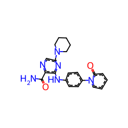 NC(=O)c1ncc(N2CCCCC2)nc1Nc1ccc(-n2ccccc2=O)cc1